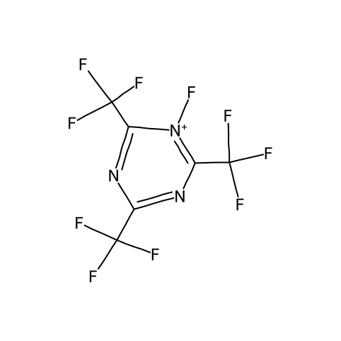 F[n+]1c(C(F)(F)F)nc(C(F)(F)F)nc1C(F)(F)F